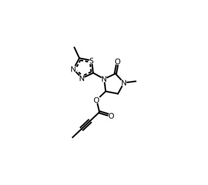 CC#CC(=O)OC1CN(C)C(=O)N1c1nnc(C)s1